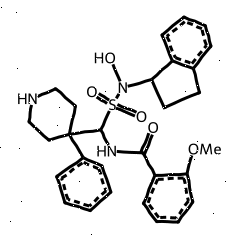 COc1ccccc1C(=O)NC(C1(c2ccccc2)CCNCC1)S(=O)(=O)N(O)C1CCc2ccccc21